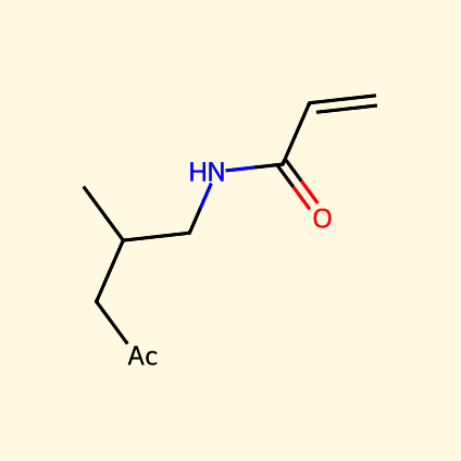 C=CC(=O)NCC(C)CC(C)=O